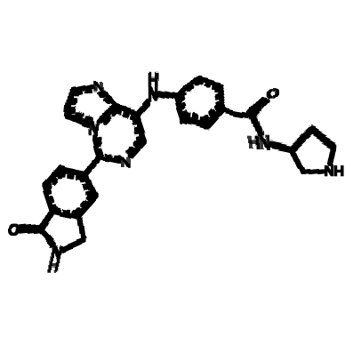 O=C(NC1CCNC1)c1ccc(Nc2cnc(-c3ccc4c(c3)CNC4=O)n3ccnc23)cc1